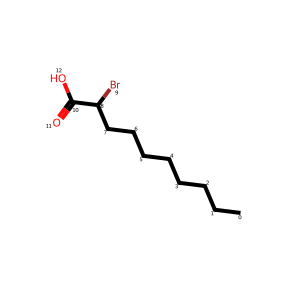 CCCCCCCCC(Br)C(=O)O